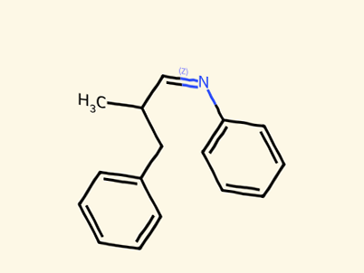 CC(/C=N\c1ccccc1)Cc1ccccc1